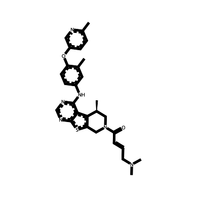 Cc1ccc(Oc2ccc(Nc3ncnc4sc5c(c34)[C@@H](C)CN(C(=O)/C=C/CN(C)C)C5)cc2C)cn1